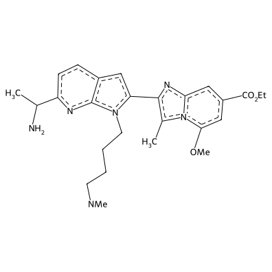 CCOC(=O)c1cc(OC)n2c(C)c(-c3cc4ccc(C(C)N)nc4n3CCCCNC)nc2c1